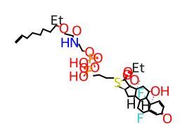 C=CCCCCCC(CC)OCC(=O)NCCOP(=O)(O)OP(=O)(O)CCCCSC(=O)[C@@]1(OC(=O)CC)[C@H](C)C[C@H]2[C@@H]3C[C@H](F)C4=CC(=O)C=C[C@]4(C)[C@@]3(F)[C@@H](O)C[C@@]21C